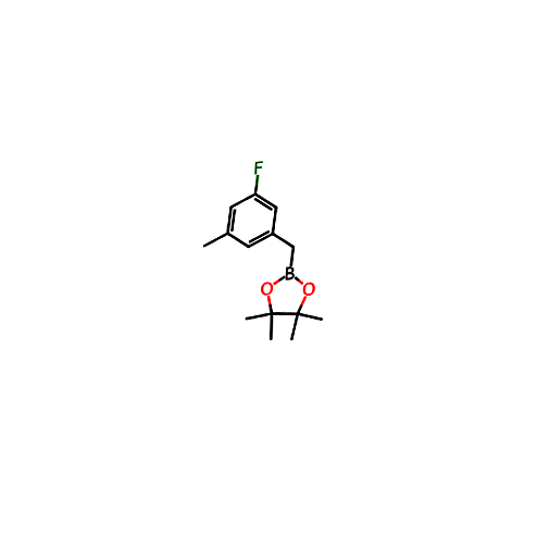 Cc1cc(F)cc(CB2OC(C)(C)C(C)(C)O2)c1